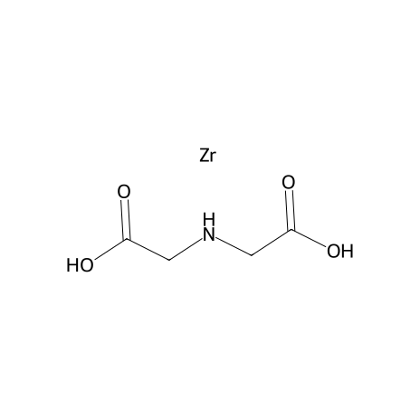 O=C(O)CNCC(=O)O.[Zr]